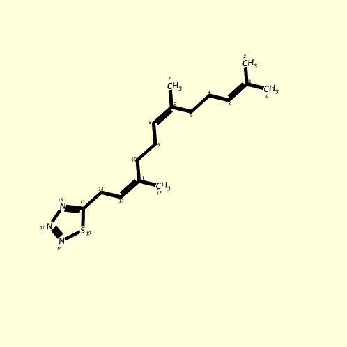 CC(C)=CCCC(C)=CCCC(C)=CCc1nnns1